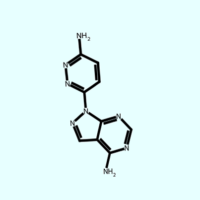 Nc1ccc(-n2ncc3c(N)ncnc32)nn1